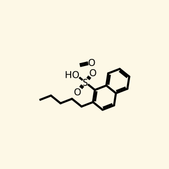 C=O.CCCCCc1ccc2ccccc2c1S(=O)(=O)O